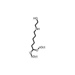 CCCCCCCCOC(CCCCCNCCO)OCCCCCCCC